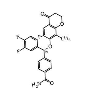 Cc1c(O[C@H](c2ccc(C(N)=O)cc2)c2ccc(F)c(F)c2)c(F)cc2c1OCCC2=O